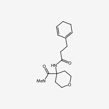 CNC(=O)C1(NC(=O)CCC2=CCCC=C2)CCOCC1